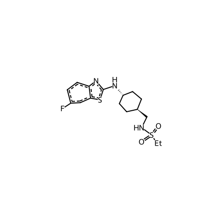 CCS(=O)(=O)NC[C@H]1CC[C@H](Nc2nc3ccc(F)cc3s2)CC1